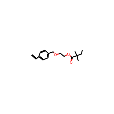 C=Cc1ccc(COCCOC(=O)C(C)(C)CC)cc1